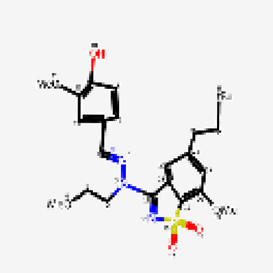 COCCN(/N=C/c1ccc(O)c(OC)c1)C1=NS(=O)(=O)c2c(OC)cc(CCC(C)(C)C)cc21